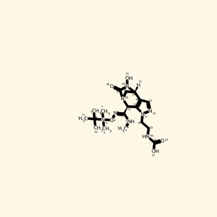 CN/C(=N\O[Si](C)(C)C(C)(C)C)[C@@H]1c2c(cnn2CCNC(=O)O)[C@@H]2CN1C(=O)N2O